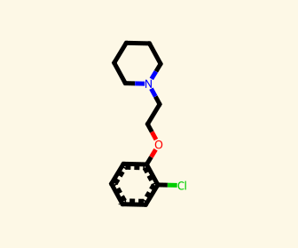 Clc1c[c]ccc1OCCN1CCCCC1